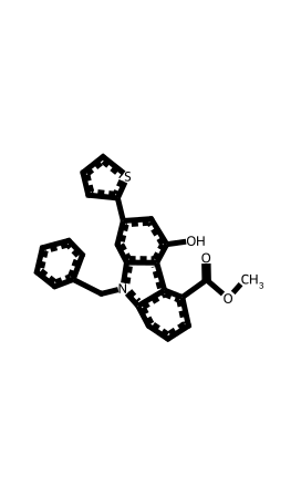 COC(=O)c1cccc2c1c1c(O)cc(-c3cccs3)cc1n2Cc1ccccc1